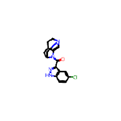 O=C(c1n[nH]c2ccc(Cl)cc12)N1C2=CN3CCC2CC1C3